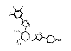 CC(=O)N1CCC(C2CC(C[C@H]3[CH][C@H](n4cc(-c5cc(F)c(F)c(F)c5)nn4)[C@@H](O)[C@@H](CO)O3)=NO2)CC1